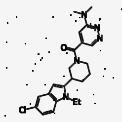 CCn1c(C2CCCN(C(=O)c3cnnc(N(C)C)c3)C2)cc2cc(Cl)ccc21